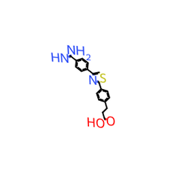 N=C(N)c1ccc(-c2csc(-c3ccc(CCC(=O)O)cc3)n2)cc1